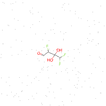 O=CC(F)C(O)(O)C(F)F